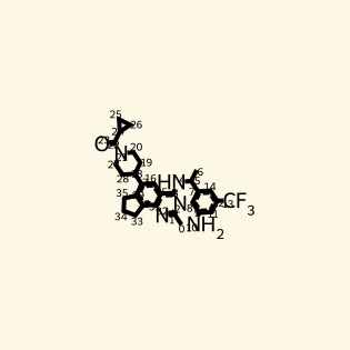 Cc1nc(NC(C)c2cc(N)cc(C(F)(F)F)c2)c2cc(C3CCN(C(=O)C4CC4)CC3)c3c(c2n1)CCC3